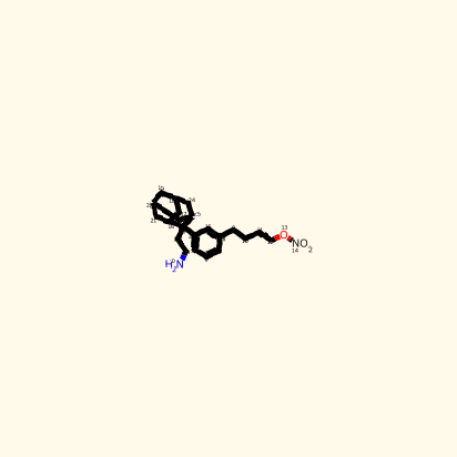 NCCC1(c2cccc(CCCCO[N+](=O)[O-])c2)C2CC3CC(C2)CC1C3